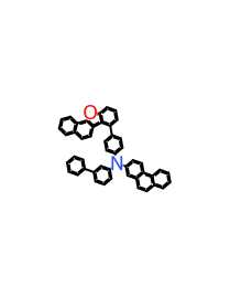 c1ccc(-c2cccc(N(c3ccc(-c4cccc5oc6c7ccccc7ccc6c45)cc3)c3ccc4c(ccc5ccccc54)c3)c2)cc1